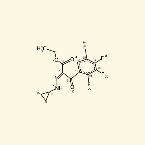 CCOC(=O)/C(=C/NC1CC1)C(=O)c1cc(F)c(F)c(F)c1F